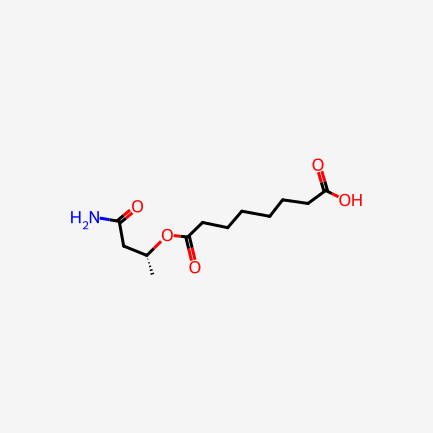 C[C@H](CC(N)=O)OC(=O)CCCCCCC(=O)O